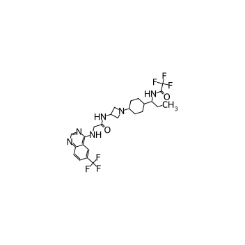 CCC(NC(=O)C(F)(F)F)C1CCC(N2CC(NC(=O)CNc3ncnc4ccc(C(F)(F)F)cc34)C2)CC1